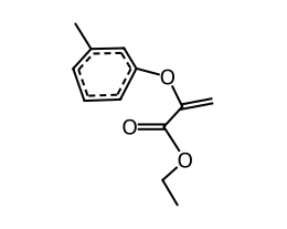 C=C(Oc1cccc(C)c1)C(=O)OCC